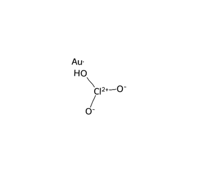 [Au].[O-][Cl+2]([O-])O